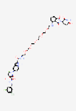 O=C1CCC(N2C(=O)c3cccc(NCCOCCOCCOCCOCCOCCNC(=O)c4cc5cc(N6C(=O)C(O)(C(=O)NCc7cc(F)cc(Cl)c7)CC6F)ccc5[nH]4)c3C2=O)C(=O)N1